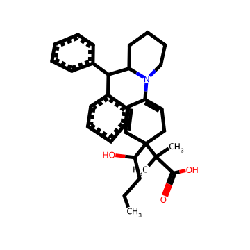 CCCC(O)C1(C(C)(C)C(=O)O)C=CC(N2CCCCC2C(c2ccccc2)c2ccccc2)=CC1